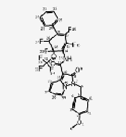 COc1ccc(Cn2c(=O)c(C(=O)NC3=C(F)C(F)=C(c4ccccc4)C(F)C3(F)OC(F)(F)F)c3ccccn32)cc1